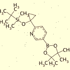 CC1(C)OB(c2ccc(C3(O[Si](C)(C)C(C)(C)C)CC3)nc2)OC1(C)C